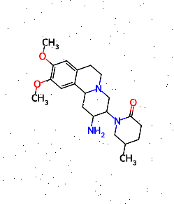 COc1cc2c(cc1OC)C1CC(N)C(N3CC(C)CCC3=O)CN1CC2